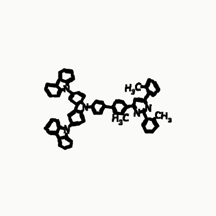 Cc1ccccc1-c1cc(-c2ccc(-c3ccc(-n4c5ccc(-n6c7ccccc7c7ccccc76)cc5c5cc(-n6c7ccccc7c7ccccc76)ccc54)cc3)cc2C)nc(-c2ccccc2C)n1